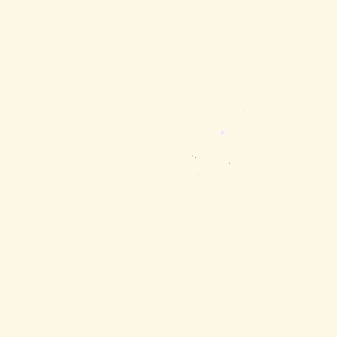 C=C/C(=C\C)c1nc(-c2ccc(-c3ccccc3)cc2)c2ccccc2n1